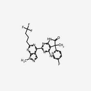 Cn1ncc2c(-c3nc(N)c4c(n3)NC(=O)C4(C)c3ccc(F)cn3)nc(CCCC(F)(F)F)nc21